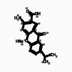 CC(C)c1ccc2oc3nc(N)c(C(=O)O)cc3c(=O)c2c1.[NaH]